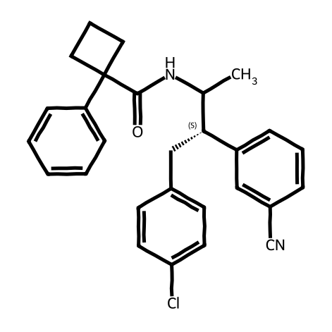 CC(NC(=O)C1(c2ccccc2)CCC1)[C@@H](Cc1ccc(Cl)cc1)c1cccc(C#N)c1